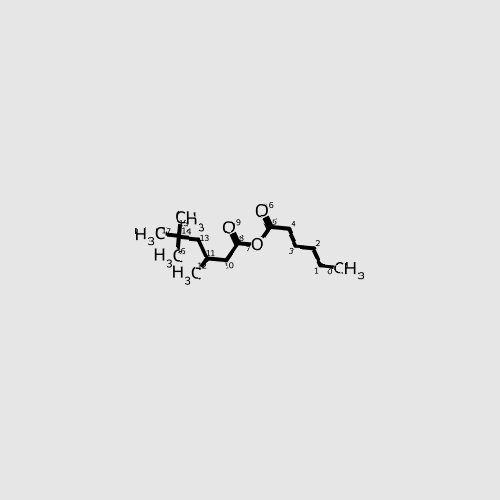 CCCCCC(=O)OC(=O)CC(C)CC(C)(C)C